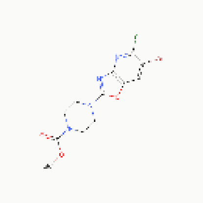 CC(C)(C)OC(=O)N1CCN(c2nc3nc(Cl)c(Br)cc3o2)CC1